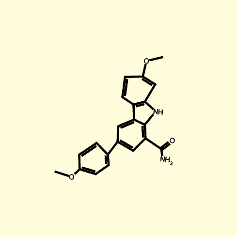 COc1ccc(-c2cc(C(N)=O)c3[nH]c4cc(OC)ccc4c3c2)cc1